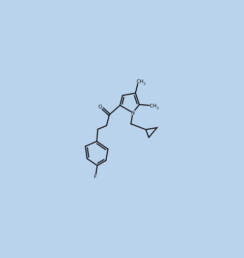 Cc1cc(C(=O)CCc2ccc(F)cc2)n(CC2CC2)c1C